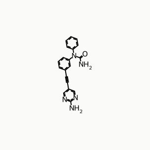 NC(=O)N(c1ccccc1)c1cccc(C#Cc2cnc(N)nc2)c1